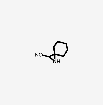 N#CC1NC12CCCCC2